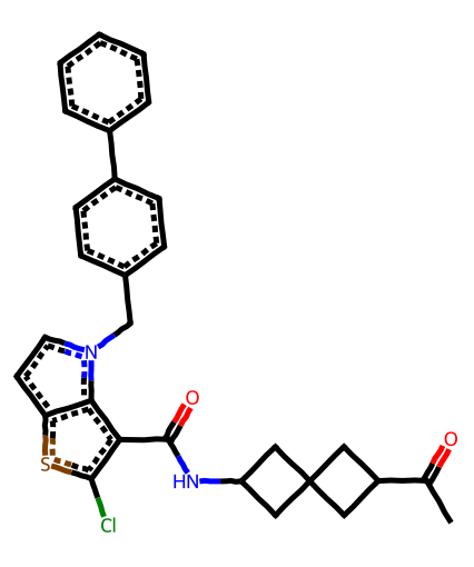 CC(=O)C1CC2(CC(NC(=O)c3c(Cl)sc4ccn(Cc5ccc(-c6ccccc6)cc5)c34)C2)C1